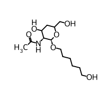 CC(=O)N[C@H]1C(O)CC(CO)O[C@H]1OCCCCCCO